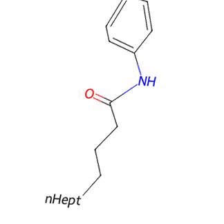 CCCCCCCCCCC(=O)Nc1cc[c]cc1